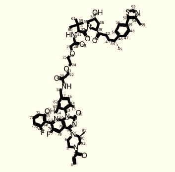 C=CC(=O)N1CCN(c2nc(=O)n(-c3c(C)cc(CNC(=O)COCCOCC(=O)N[C@H](C(=O)N4C[C@H](O)C[C@H]4C(=O)CC[C@@H](C)c4ccc(-c5scnc5C)cc4)C(C)(C)C)cc3C)c3nc(-c4c(O)cccc4F)c(F)cc23)[C@@H](C)C1